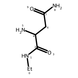 CCNC(=O)C(N)CC(N)=O